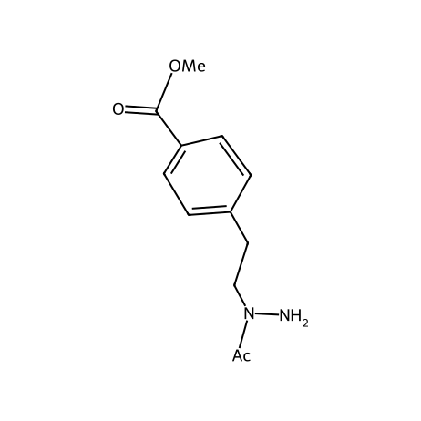 COC(=O)c1ccc(CCN(N)C(C)=O)cc1